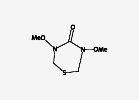 CON1CSCN(OC)C1=O